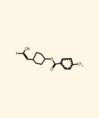 N#C/C(F)=C\C1CCC(OC(=O)c2ccc(C(F)(F)F)cc2)CC1